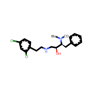 CC(C)(C)N(C(=O)O)[C@@H](Cc1ccccc1)[C@@H](O)CNCCc1ccc(Cl)cc1Cl